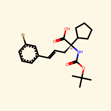 CC(C)(C)OC(=O)N[C@](CC=Cc1cccc(Br)c1)(C(=O)O)C1CCCC1